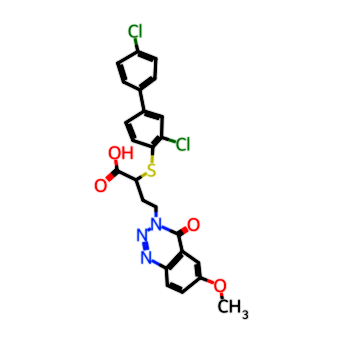 COc1ccc2nnn(CCC(Sc3ccc(-c4ccc(Cl)cc4)cc3Cl)C(=O)O)c(=O)c2c1